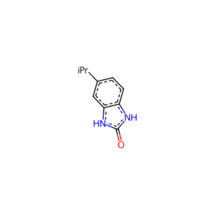 CC(C)c1ccc2[nH]c(=O)[nH]c2c1